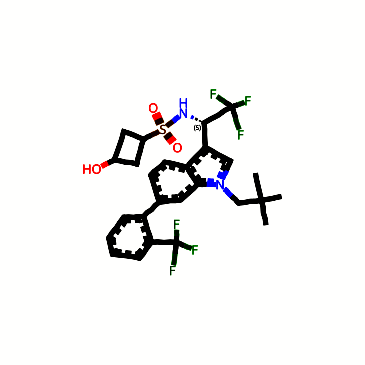 CC(C)(C)Cn1cc([C@H](NS(=O)(=O)C2CC(O)C2)C(F)(F)F)c2ccc(-c3ccccc3C(F)(F)F)cc21